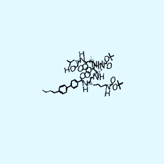 CCCCc1ccc(-c2ccc(C(=O)N[C@@H](CCCCNC(=O)OC(C)(C)C)C(=O)N[C@@H](CNC(=O)OC(C)(C)C)C(=O)N[C@@H](C)C(=O)N[C@@H](CC(C)C)C(=O)O)cc2)cc1